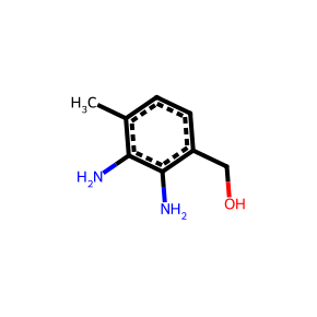 Cc1ccc(CO)c(N)c1N